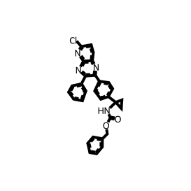 O=C(NC1(c2ccc(-c3nc4ccc(Cl)nc4nc3-c3ccccc3)cc2)CC1)OCc1ccccc1